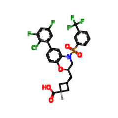 C[C@]1(C(=O)O)C[C@@H](CC2CN(S(=O)(=O)c3cccc(C(F)(F)F)c3)c3cc(-c4cc(F)cc(F)c4Cl)ccc3O2)C1